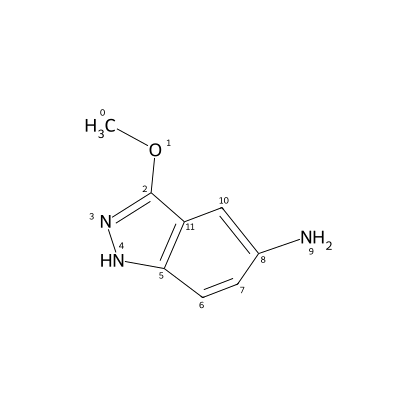 COc1n[nH]c2ccc(N)cc12